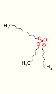 CCCCCCCCCOP(=O)(OCCCCCC)OCCCCCC